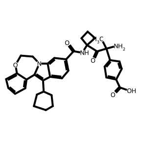 CC(N)(C(=O)C1(NC(=O)c2ccc3c(C4CCCCC4)c4n(c3c2)CCOc2ccccc2-4)CCC1)c1ccc(C(=O)O)cc1